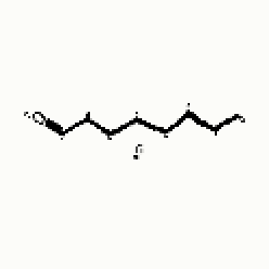 CCCCCCCC=O.[Ti]